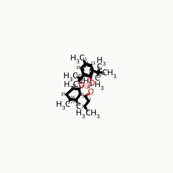 CCCCOB(Oc1c(C(C)(C)C)cc(C)cc1C(C)(C)C)OC1CCC(C)C(C)C1